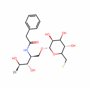 CC[C@@H](O)[C@@H](O)[C@H](CO[C@H]1OC(CF)[C@@H](O)C(O)[C@@H]1O)NC(=O)Cc1ccccc1